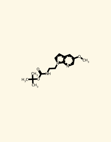 COc1cnc2c(ccn2CCNC(=O)OC(C)(C)C)c1